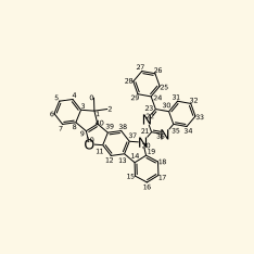 CC1(C)c2ccccc2-c2oc3cc4c5ccccc5n(-c5nc(-c6ccccc6)c6ccccc6n5)c4cc3c21